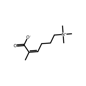 CC(=CCCC[N+](C)(C)C)C(=O)[O-]